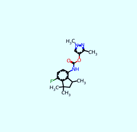 Cc1nn(C)cc1OC(=O)Nc1ccc(F)c2c1C(C)CC2(C)C